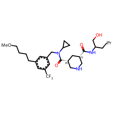 COCCCCc1cc(CN(C(=O)[C@H]2CNC[C@@H](C(=O)NC(CO)CC(C)C)C2)C2CC2)cc(C(F)(F)F)c1